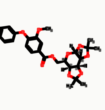 COc1cc(C(=O)OC[C@H]2O[C@@H]3OC(C)(C)O[C@@H]3[C@H]3OC(C)(C)O[C@H]32)ccc1Oc1ccccc1